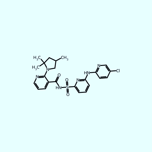 CC1CN(c2ncccc2C(=O)NS(=O)(=O)c2cccc(Nc3ccc(Cl)cn3)n2)C(C)(C)C1